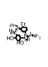 CCc1ccc(-n2c(SN)nnc2-c2cc(C(C)C)c(O)cc2O)cc1N(C)CC(C)C